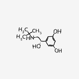 CC(C)(C)NC[C@@H](O)c1cc(O)cc(O)c1